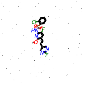 COc1nc(NS(=O)(=O)c2ccccc2Cl)c(F)cc1/C=C/c1cnc(F)nc1